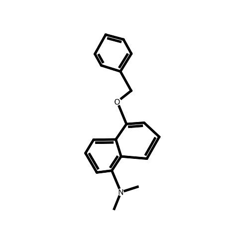 CN(C)c1cccc2c(OCc3ccccc3)cccc12